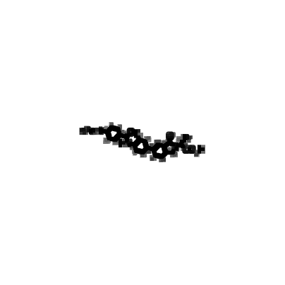 CCCCCc1ccc(C(=O)Nc2ccc(-c3ccc4c(c3)C(=O)N(C(C(=O)O)C(C)C)C4)cc2F)cc1